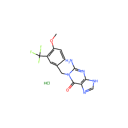 COc1ccc(Cn2c(N)nc3[nH]cnc3c2=O)cc1C(F)(F)F.Cl